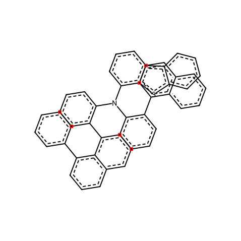 c1ccc(-c2cccc3cccc(-c4ccccc4N(c4ccccc4-c4cccc5ccccc45)c4cccc5c4sc4ccccc45)c23)cc1